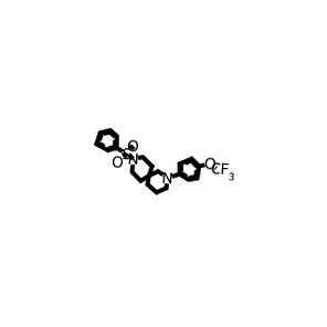 O=S(=O)(c1ccccc1)N1CCC2(CCCN(c3ccc(OC(F)(F)F)cc3)C2)CC1